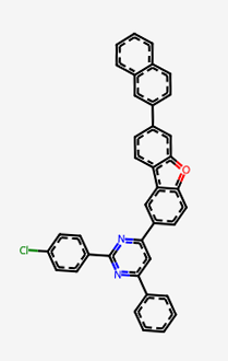 Clc1ccc(-c2nc(-c3ccccc3)cc(-c3ccc4oc5cc(-c6ccc7ccccc7c6)ccc5c4c3)n2)cc1